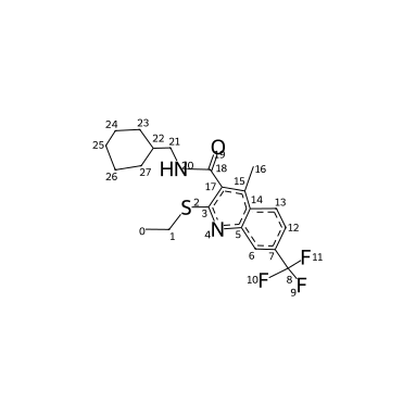 CCSc1nc2cc(C(F)(F)F)ccc2c(C)c1C(=O)NCC1CCCCC1